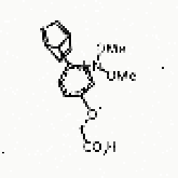 CONOC.O=C(O)COc1ccc(C2C3=CC=C2C=C3)cc1